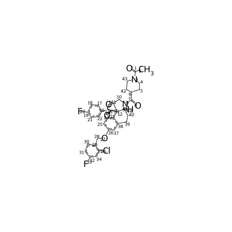 CC(=O)N1CCC(C(=O)N2CC[C@@]3(S(=O)(=O)c4ccc(F)cc4)c4ccc(OCc5ccc(F)cc5Cl)cc4CC[C@@H]23)CC1